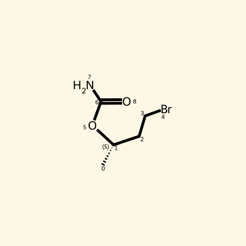 C[C@@H](CCBr)OC(N)=O